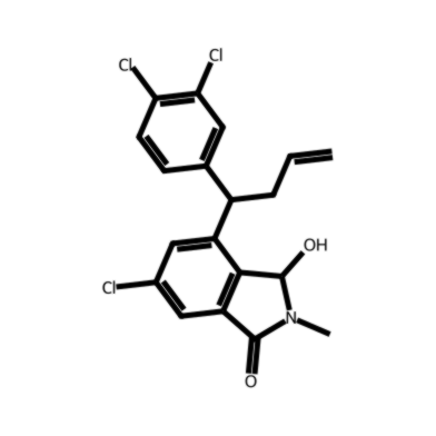 C=CCC(c1ccc(Cl)c(Cl)c1)c1cc(Cl)cc2c1C(O)N(C)C2=O